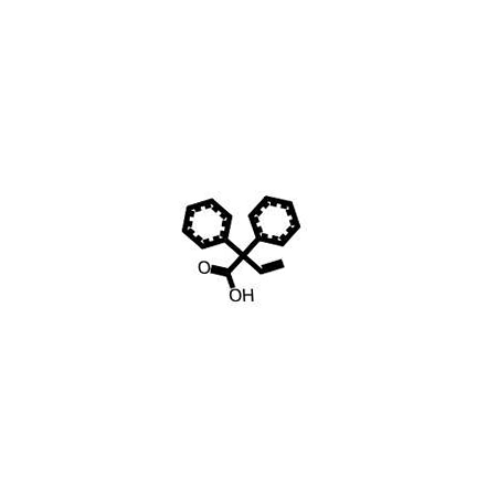 C=CC(C(=O)O)(c1ccccc1)c1ccccc1